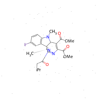 COC(=O)C1=C(C(=O)OC)C2N(C)c3ccc(I)cc3[C@@]23C[C@@H](C)N(C(=O)CC(C)C)C3=N1